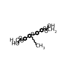 C=C(CO)C(=O)Oc1ccc(-c2ccc(COc3ccc(-c4ccc(OC(=O)C(=C)CO)cc4)cc3CCCCCCC)cc2)cc1